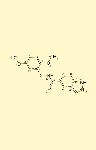 COc1ccc(OC)c(CNC(=O)c2ccc3[nH]ncc3c2)c1